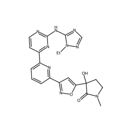 CCn1ncnc1Nc1nccc(-c2cccc(-c3cc(C4(O)CCN(C)C4=O)on3)n2)n1